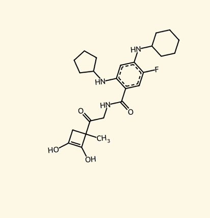 CC1(C(=O)CNC(=O)c2cc(F)c(NC3CCCCC3)cc2NC2CCCC2)CC(O)=C1O